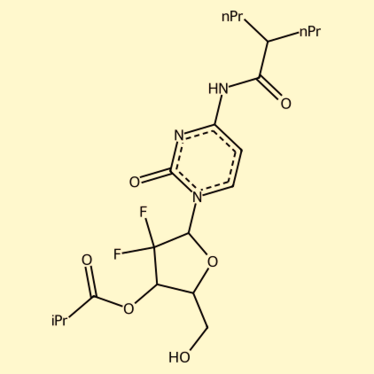 CCCC(CCC)C(=O)Nc1ccn(C2OC(CO)C(OC(=O)C(C)C)C2(F)F)c(=O)n1